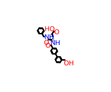 O=C(O)CC[C@H](NC(=O)c1ccc(-c2cccc(CO)c2)cc1)C(=O)NCc1ccccc1